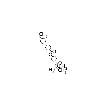 CCC1CCC(C2CCC(C(=O)OC3CCC(C(=O)OC(C)(C)C)CC3)CC2)CC1